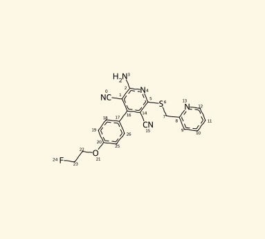 N#Cc1c(N)nc(SCc2ccccn2)c(C#N)c1-c1ccc(OCCF)cc1